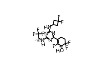 C[C@@H](Nc1nc(NC2CC(F)(F)C2)nc(C2=C(F)[C@@H](O)C(F)(F)CC2)n1)C(F)(F)F